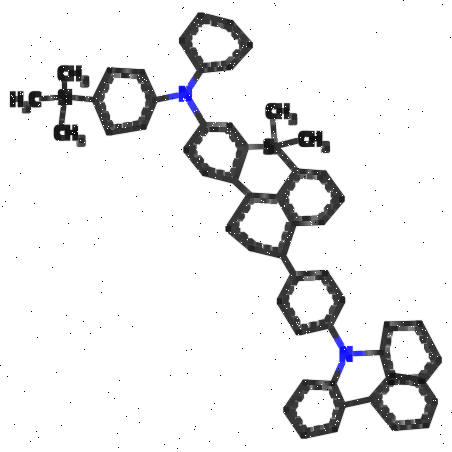 C[Si](C)(C)c1ccc(N(c2ccccc2)c2ccc3c(c2)[Si](C)(C)c2cccc4c(-c5ccc(N(c6ccccc6)c6ccccc6-c6ccccc6)cc5)ccc-3c24)cc1